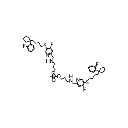 O=[PH](OCCCNCc1cc(F)c(SCCCCC2(c3ccccc3F)CCCC2)cn1)OCCCNCc1cc(F)c(SCCCCC2(c3ccccc3F)CCCC2)cn1